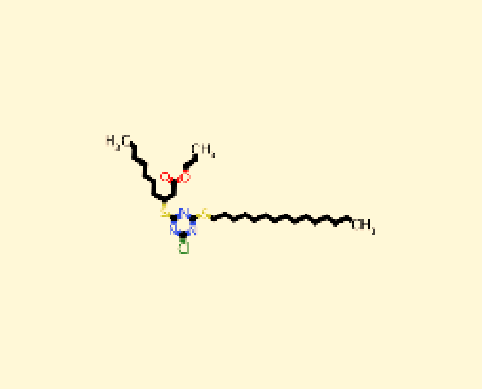 CCCCCCCCCCCCCCCSc1nc(Cl)nc(SC(CCCCCCC)CC(=O)OCCC)n1